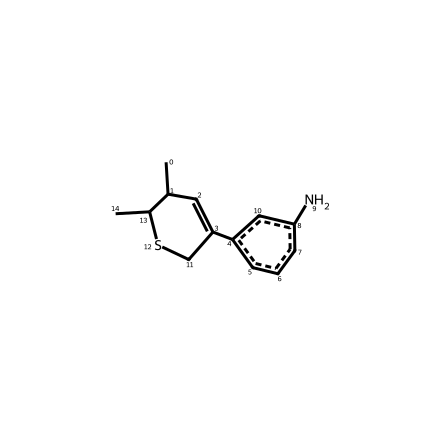 CC1C=C(c2cccc(N)c2)CSC1C